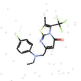 CCN(Cc1cc(=O)n2c(C(F)(F)F)c(C)sc2n1)c1ccc(F)cc1